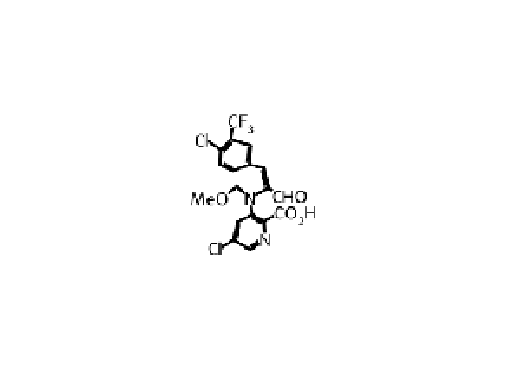 COCN(/C(C=O)=C\c1ccc(Cl)c(C(F)(F)F)c1)c1cc(Cl)cnc1C(=O)O